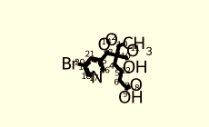 CC(=O)C(CCCC(=O)O)(C(=O)O)C(=O)c1cncc(Br)c1